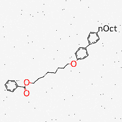 CCCCCCCCc1ccc(-c2ccc(OCCCCCCCCOC(=O)c3[c]cc[c]c3)cc2)cc1